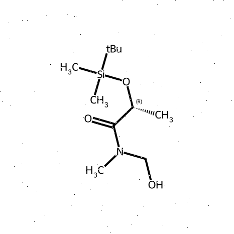 C[C@@H](O[Si](C)(C)C(C)(C)C)C(=O)N(C)CO